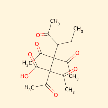 CCC(C(C)=O)C(C(C)=O)(C(C)=O)C(C(C)=O)(C(C)=O)C(=O)O